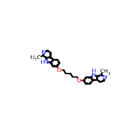 Cc1nccc2c1[nH]c1cc(OCCCCCOc3ccc4c(c3)[nH]c3c(C)nccc34)ccc12